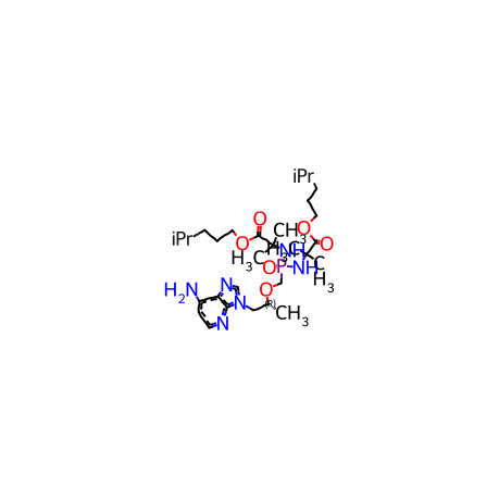 CC(C)CCCOC(=O)C(C)(C)NP(=O)(CO[C@H](C)Cn1cnc2c(N)ccnc21)NC(C)(C)C(=O)OCCCC(C)C